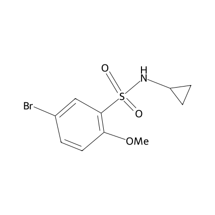 COc1ccc(Br)cc1S(=O)(=O)NC1CC1